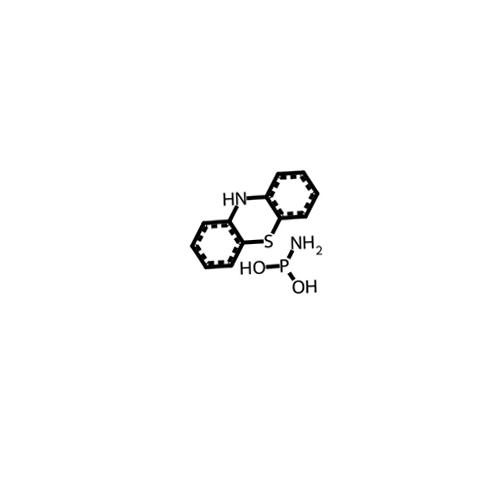 NP(O)O.c1ccc2c(c1)Nc1ccccc1S2